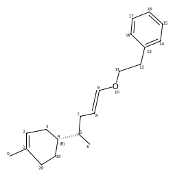 CC1=CC[C@H](C(C)CC=COCCc2ccccc2)CC1